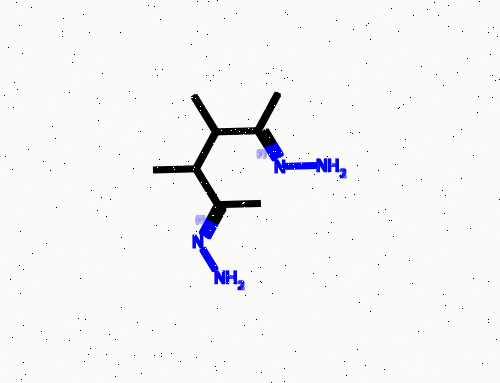 C/C(=N\N)C(C)C(C)/C(C)=N/N